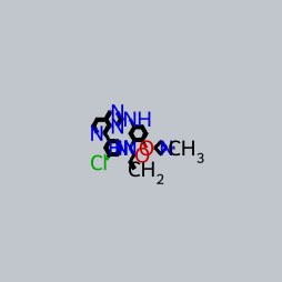 C=CC(=O)Nc1cc(Nc2ncc3ccnc(-c4cncc(Cl)c4)c3n2)ccc1OC1CN(C)C1